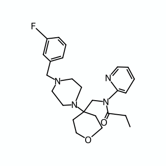 CCC(=O)N(CC1(N2CCN(Cc3cccc(F)c3)CC2)CCOCC1)c1ccccn1